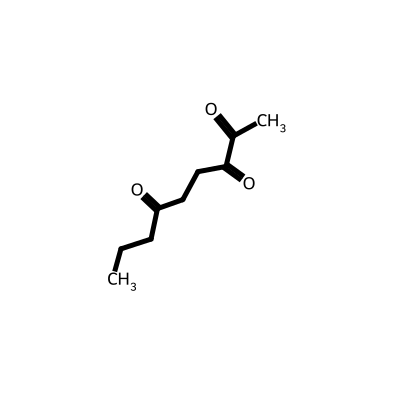 CCCC(=O)CCC(=O)C(C)=O